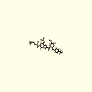 COC(=O)C(C)CC(Cc1ccc(C(F)(F)F)cc1)NC(=O)c1csc(C(CC(C(C)C)N(C)C(=O)CCC2CC2)OC(C)=O)n1